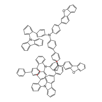 c1ccc(-c2cccc(-c3ccccc3N(c3ccc(-c4ccc5c(c4)oc4ccccc45)cc3)c3ccc(-c4ccccc4-n4c5ccccc5c5cc(-c6cccc(-c7ccc(-c8ccc(N(c9ccc(-c%10ccc%11c(c%10)oc%10ccccc%10%11)cc9)c9ccc(-c%10ccccc%10-n%10c%11ccccc%11c%11ccccc%11%10)cc9)cc8)cc7)c6)ccc54)cc3)c2)cc1